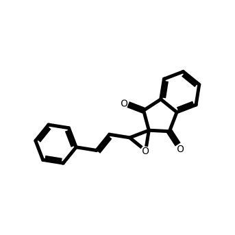 O=C1c2ccccc2C(=O)C12OC2/C=C/c1ccccc1